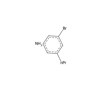 CCCc1cccc(Br)c1.N